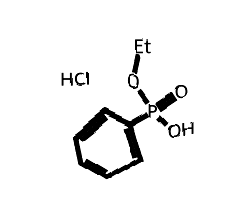 CCOP(=O)(O)c1ccccc1.Cl